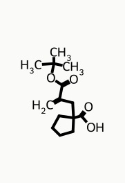 C=C(CC1(C(=O)O)CCCC1)C(=O)OC(C)(C)C